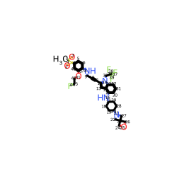 CS(=O)(=O)c1ccc(NCC#Cc2cc3c(NC4CCC(N5CC6(COC6)C5)CC4)cccc3n2CC(F)(F)F)c(OCCF)c1